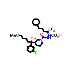 COCCCC[C@@](O)(c1cccc(Cl)c1)C1CCCN(C(=O)NN(C(=O)O)C(CCCC2CCCCC2)C(F)(F)F)C1